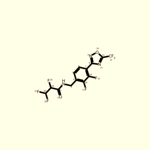 O=C(NCc1ccc(-c2noc(C(F)(F)F)n2)c(F)c1F)C(F)C(F)F